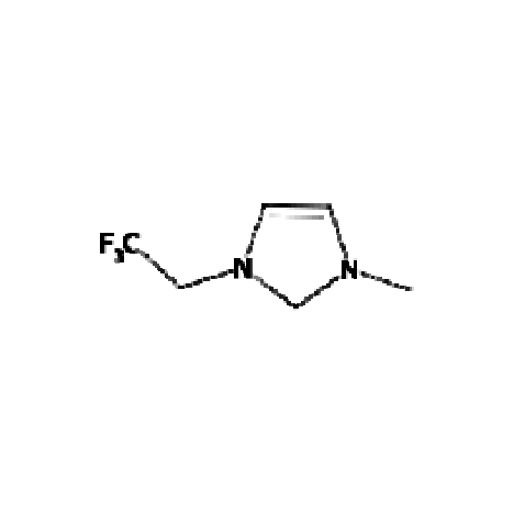 CN1C=CN(CC(F)(F)F)C1